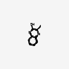 Oc1nc2ccccc2nc1I